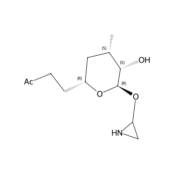 CC(=O)CC[C@@H]1C[C@H](C)[C@H](O)[C@@H](OC2CN2)O1